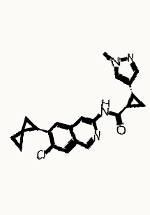 Cn1cc([C@@H]2C[C@H]2C(=O)Nc2cc3cc([C@@H]4CC45CC5)c(Cl)cc3cn2)cn1